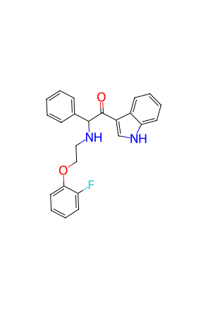 O=C(c1c[nH]c2ccccc12)C(NCCOc1ccccc1F)c1ccccc1